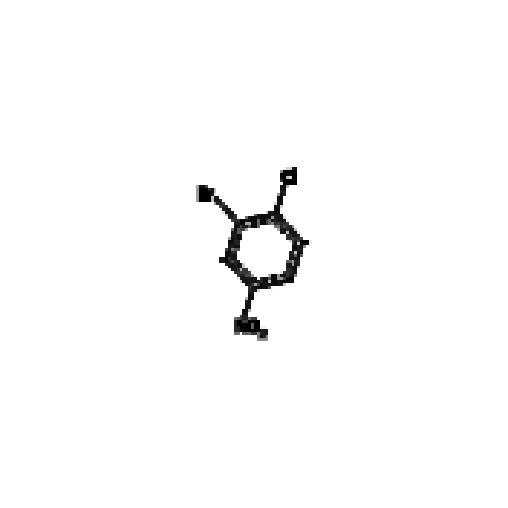 O=[N+]([O-])c1[c]c(Br)c(Cl)[c]c1